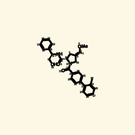 CO/N=C1\C[C@@H](C(=O)N[C@@H](CO)c2ccccc2)N(C(=O)c2ccc(-c3ccccc3C)cc2)C1